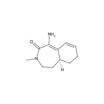 CN1CC[C@@H]2CCC=CC2=C(N)C1=O